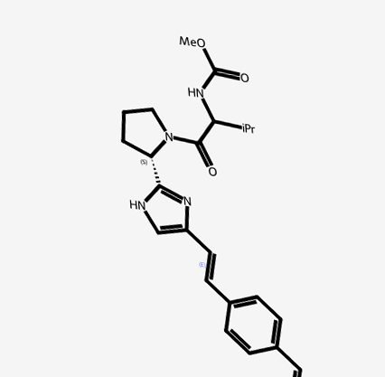 [CH]=Cc1ccc(/C=C/c2c[nH]c([C@@H]3CCCN3C(=O)C(NC(=O)OC)C(C)C)n2)cc1